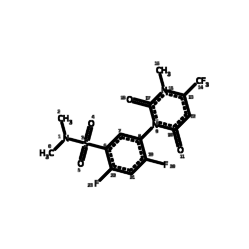 CN(C)S(=O)(=O)c1cc(-n2c(=O)cc(C(F)(F)F)n(C)c2=O)c(F)cc1F